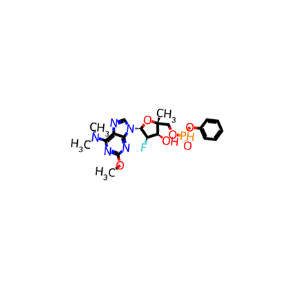 COc1nc(N(C)C)c2ncn([C@@H]3O[C@](C)(CO[PH](=O)Oc4ccccc4)[C@@H](O)[C@H]3F)c2n1